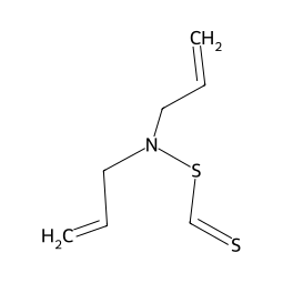 C=CCN(CC=C)SC=S